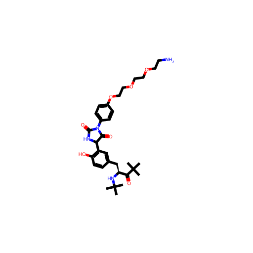 CC(C)(C)N[C@@H](Cc1ccc(O)c(C2NC(=O)N(c3ccc(OCCOCCOCCN)cc3)C2=O)c1)C(=O)C(C)(C)C